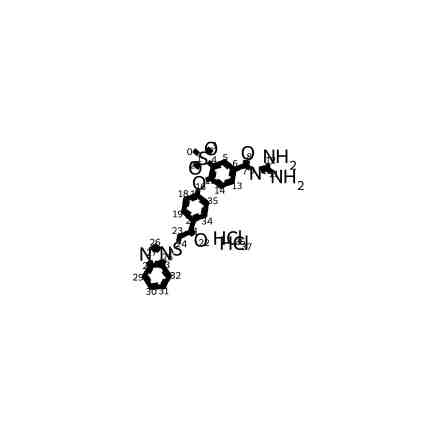 CS(=O)(=O)c1cc(C(=O)N=C(N)N)ccc1Oc1ccc(C(=O)CSn2cnc3ccccc32)cc1.Cl.Cl